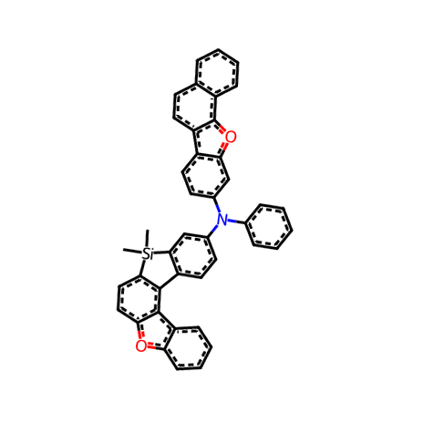 C[Si]1(C)c2cc(N(c3ccccc3)c3ccc4c(c3)oc3c5ccccc5ccc43)ccc2-c2c1ccc1oc3ccccc3c21